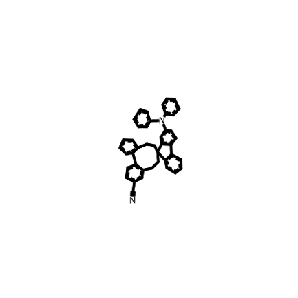 N#Cc1ccc2c(c1)CCC1(CCc3ccccc3-2)c2ccccc2-c2ccc(N(c3ccccc3)c3ccccc3)cc21